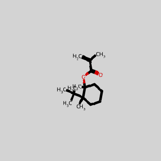 C=C(C)C(=O)OC1(C)CCCCC1(C)C(C)(C)C